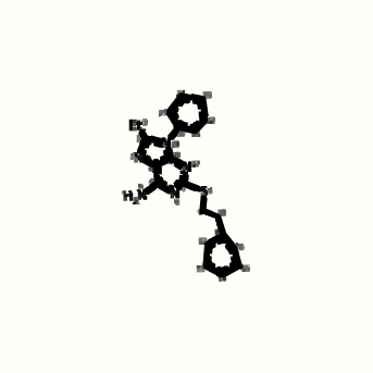 CCc1nc2c(N)nc(SCCc3ccccc3)nc2n1-c1ccccc1